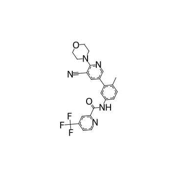 Cc1ccc(NC(=O)c2cc(C(F)(F)F)ccn2)cc1-c1cnc(N2CCOCC2)c(C#N)c1